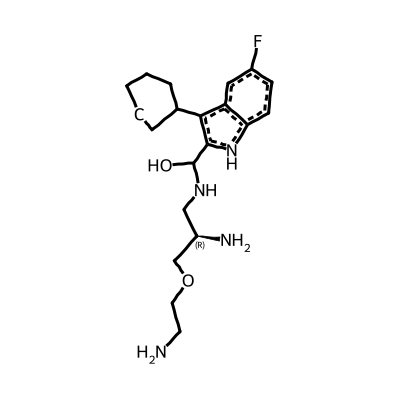 NCCOC[C@H](N)CNC(O)c1[nH]c2ccc(F)cc2c1C1CCCCC1